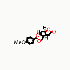 COc1ccc(C2OC[C@@H]3[C@H]4CC(=O)O[C@H]4C[C@H]3O2)cc1